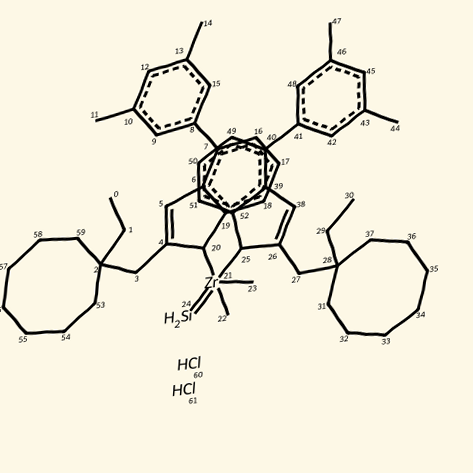 CCC1(CC2=Cc3c(-c4cc(C)cc(C)c4)cccc3[CH]2[Zr]([CH3])([CH3])(=[SiH2])[CH]2C(CC3(CC)CCCCCCC3)=Cc3c(-c4cc(C)cc(C)c4)cccc32)CCCCCCC1.Cl.Cl